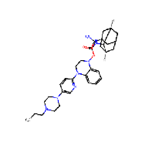 NC(=O)C12CC3C[C@H](C1)C(NC(=O)ON1CCN(c4ccc(N5CCN(CCC(F)(F)F)CC5)cn4)c4ccccc41)[C@@H](C3)C2